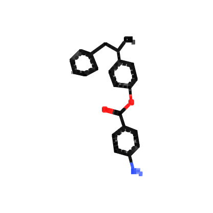 CC(Cc1cc[c]cc1)c1ccc(OC(=O)c2ccc(N)cc2)cc1